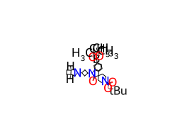 CC(C)(C)OC(=O)N1CCC2(CC1)C(=O)N([C@H]1C[C@@H](N3C[C@H]4CC[C@H]4C3)C1)c1cc(B3OC(C)(C)C(C)(C)O3)ccc12